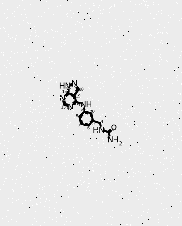 NC(=O)NCc1cccc(Nc2ncnc3[nH]ncc23)c1